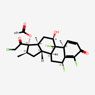 CCCC(=O)O[C@@]1(C(=O)CCl)[C@H](C)C[C@H]2[C@@H]3C[C@H](F)C4=C(F)C(=O)C=C[C@]4(C)[C@@]3(F)[C@H](O)C[C@@]21C